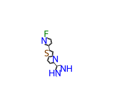 CN/C=C(\C=N)c1ccc2sc(-c3ccc(F)nc3)cc2n1